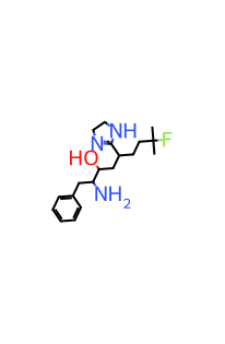 CC(C)(F)CCC(CC(O)C(N)Cc1ccccc1)C1=NCCN1